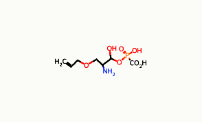 C=CCOCC(N)C(O)OP(=O)(O)C(=O)O